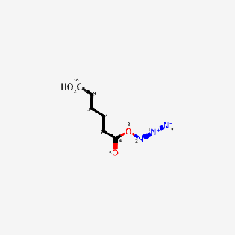 [N-]=[N+]=NOC(=O)CCCCC(=O)O